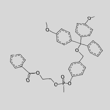 COc1ccc(C(OCc2ccc(OP(C)(=O)OCCOC(=O)c3ccccc3)cc2)(c2ccccc2)c2ccc(OC)cc2)cc1